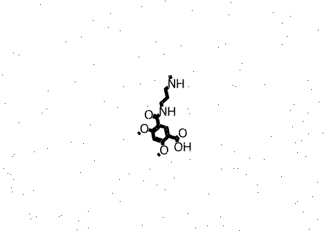 CNCCCNC(=O)c1cc(C(=O)O)c(OC)cc1OC